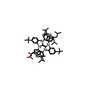 CC(C)Cc1cc(N2/C(=C3/N(c4cc(CC(C)C)nc(C(C)C)c4)c4ccc(C(C)(C)C)cc4N3c3cc(CC(C)C)nc(C(C)C)c3)N(c3cc(CC(C)C)nc(C(C)C)c3)c3cc(C(C)(C)C)ccc32)cc(C(C)C)n1